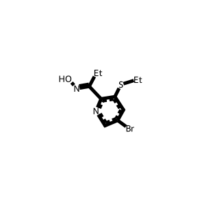 CCSc1cc(Br)cnc1/C(CC)=N/O